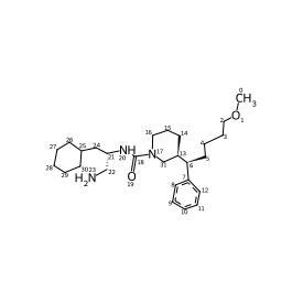 COCCCC[C@@H](c1ccccc1)[C@@H]1CCCN(C(=O)N[C@H](CN)CC2CCCCC2)C1